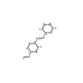 C=Cc1ccc(/C=C/c2ccccc2)cc1